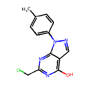 Cc1ccc(-n2ncc3c(O)nc(CCl)nc32)cc1